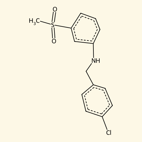 CS(=O)(=O)c1cccc(NCc2ccc(Cl)cc2)c1